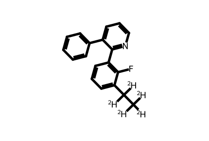 [2H]C([2H])([2H])C([2H])([2H])c1cccc(-c2ncccc2-c2ccccc2)c1F